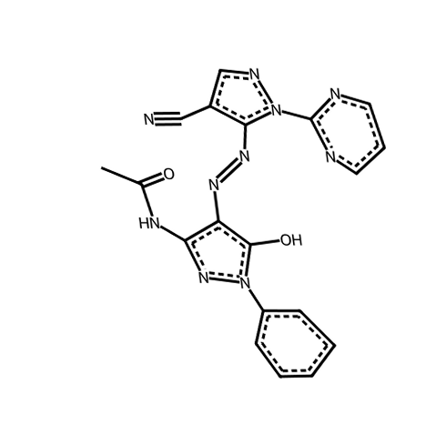 CC(=O)Nc1nn(-c2ccccc2)c(O)c1N=Nc1c(C#N)cnn1-c1ncccn1